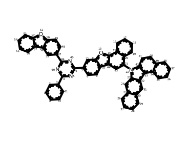 c1ccc(-c2nc(-c3ccc4c(c3)oc3c5ccccc5c(-n5c6cc7ccccc7cc6c6c7ccccc7ccc65)cc43)nc(-c3ccc4oc5ccccc5c4c3)n2)cc1